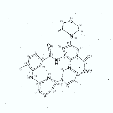 CNC(=O)c1cc(NC(=O)c2ccc(C)c(Nc3nccc(N4C=CC=NC4)n3)c2)cc(N2CCOCC2)c1